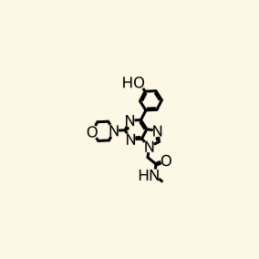 CNC(=O)Cn1cnc2c(-c3cccc(O)c3)nc(N3CCOCC3)nc21